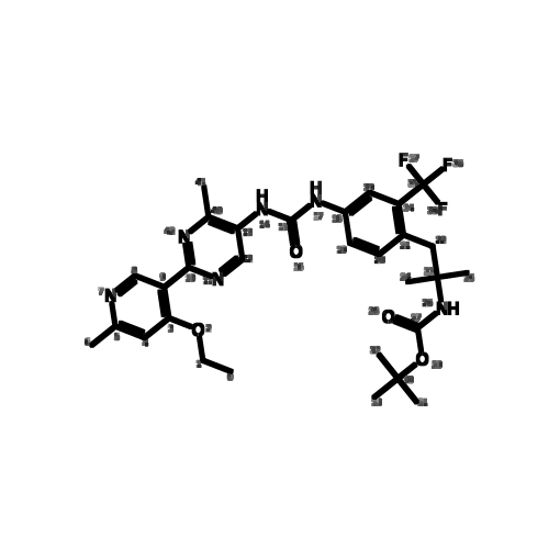 CCOc1cc(C)ncc1-c1ncc(NC(=O)Nc2ccc(CC(C)(C)NC(=O)OC(C)(C)C)c(C(F)(F)F)c2)c(C)n1